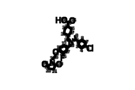 C[C@@H](c1ccc(Cl)cc1)N(Cc1ccc(OCCN2C(=O)CCC2=O)c(F)c1)CC1CCC(C(=O)O)CC1